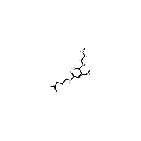 CB/C(=C/C(=O)NCCCC(C)=O)C(=O)NCCOC